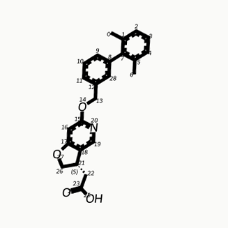 Cc1cccc(C)c1-c1cccc(COc2cc3c(cn2)[C@H](CC(=O)O)CO3)c1